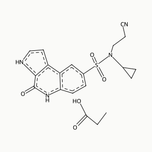 CCC(=O)O.N#CCCN(C1CC1)S(=O)(=O)c1ccc2[nH]c(=O)c3[nH]ccc3c2c1